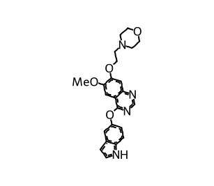 COc1cc2c(Oc3ccc4[nH]ccc4c3)ncnc2cc1OCCN1CCOCC1